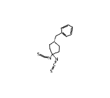 S=C=NC1(N=C=S)CCC(Cc2ccccc2)CC1